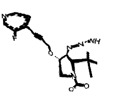 CC(C)(C)C1[C@H](N=[N+]=N)[C@@H](OCC#Cc2ccncc2F)CN1C(=O)[O-]